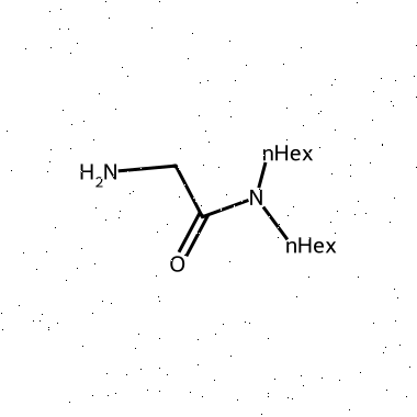 CCCCCCN(CCCCCC)C(=O)CN